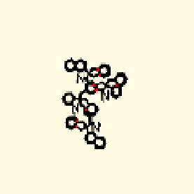 CN1/C(=C/C=C/C2=[N+](C)c3ccccc3C2(Cc2ccccc2)Cc2ccc(CC3(Cc4ccccc4)C(/C=C/C=C4/N(C)c5c(ccc6ccccc56)C4(Cc4ccccc4)Cc4ccccc4)=[N+](C)c4ccccc43)cc2)C(Cc2ccccc2)(Cc2ccccc2)c2ccc3ccccc3c21